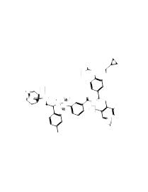 Cc1ccc(C(NS(=O)(=O)c2cccc(C(=O)O[C@@H](Cc3c(Cl)c[n+]([O-])cc3Cl)c3ccc(OC(F)F)c(OCC4CC4)c3)c2)C(=O)O[C@H]2CN3CCC2CC3)cc1